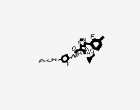 CC(=O)N[C@H]1CC[C@@H](NC(=O)c2c(C)[nH]c3c(-c4c(OCC5CC5)ccc(C)c4F)ncnc23)[C@H](F)C1